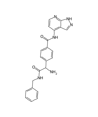 NC(C(=O)NCc1ccccc1)c1ccc(C(=O)Nc2ccnc3[nH]ncc23)cc1